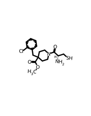 COC(=O)C1(Cc2ccccc2Cl)CCN(C(=O)[C@@H](N)CS)CC1